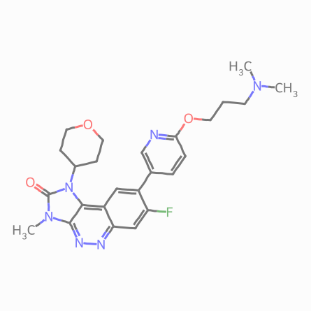 CN(C)CCCOc1ccc(-c2cc3c(cc2F)nnc2c3n(C3CCOCC3)c(=O)n2C)cn1